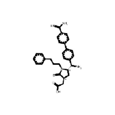 N=C(N)c1ccc(-c2ccc(C(N)[C@@H]3C[C@@H](CC(=O)O)C(=O)N3CCCc3ccccc3)cc2)cc1